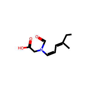 CC/C(C)=C/C=C\N(C=O)CC(=O)O